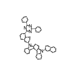 c1ccc(-c2nc(-c3ccccc3)nc(-c3cccc4cc(-n5c6ccccc6c6c7c8ccccc8n(-c8ccc9ccccc9c8)c7ccc65)ccc34)n2)cc1